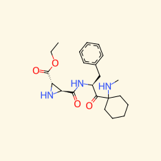 CCOC(=O)[C@H]1N[C@@H]1C(=O)N[C@@H](Cc1ccccc1)C(=O)C1(NC)CCCCC1